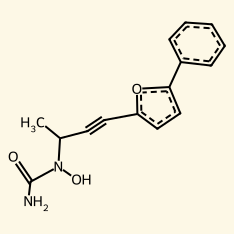 CC(C#Cc1ccc(-c2ccccc2)o1)N(O)C(N)=O